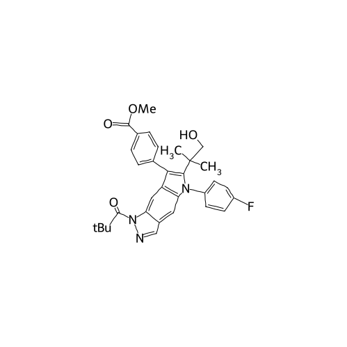 COC(=O)c1ccc(-c2c(C(C)(C)CO)n(-c3ccc(F)cc3)c3cc4cnn(C(=O)C(C)(C)C)c4cc23)cc1